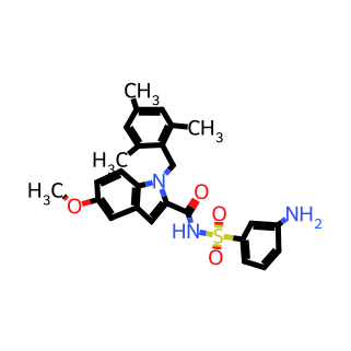 COc1ccc2c(c1)cc(C(=O)NS(=O)(=O)c1cccc(N)c1)n2Cc1c(C)cc(C)cc1C